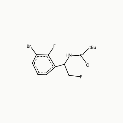 CC(C)(C)[S+]([O-])NC(CF)c1cccc(Br)c1F